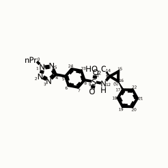 CCCn1nnc(-c2ccc(S(=O)(=O)N[C@]3(C(=O)O)C[C@H]3c3ccccc3)cc2)n1